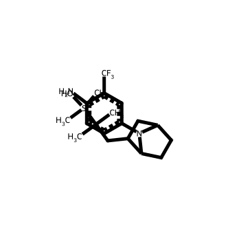 CC(C)(CC1CC2CCC1N2c1ccc(N)c(C(F)(F)F)c1)[Si](C)(C)O